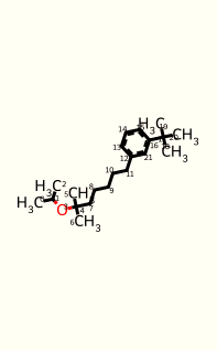 CC(C)OC(C)(C)CCCCCc1cccc(C(C)(C)C)c1